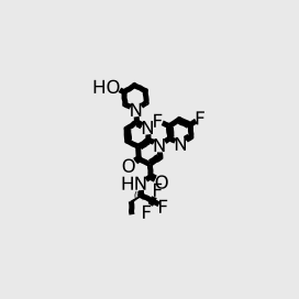 CC[C@@H](NC(=O)c1cn(-c2ncc(F)cc2F)c2nc(N3CCCC(O)C3)ccc2c1=O)C(F)(F)F